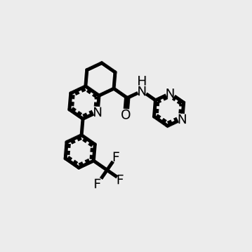 O=C(Nc1ccncn1)C1CCCc2ccc(-c3cccc(C(F)(F)F)c3)nc21